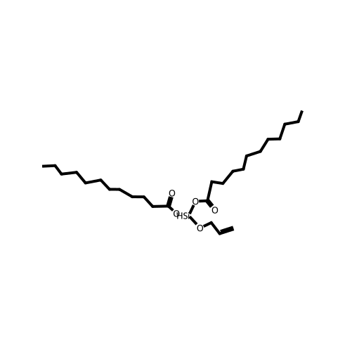 C=CCO[SiH](OC(=O)CCCCCCCCCCC)OC(=O)CCCCCCCCCCC